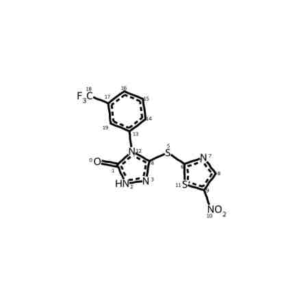 O=c1[nH]nc(Sc2ncc([N+](=O)[O-])s2)n1-c1cccc(C(F)(F)F)c1